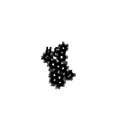 CC1(C)c2ccccc2-c2ccc(-c3c4cc(N5CCCCC5)ccc4c(-c4ccc5ccc6cccc7ccc4c5c67)c4cc(N5CCCCC5)ccc34)cc21